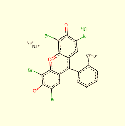 Cl.O=C([O-])c1ccccc1-c1c2cc(Br)c(=O)c(Br)c-2oc2c(Br)c([O-])c(Br)cc12.[Na+].[Na+]